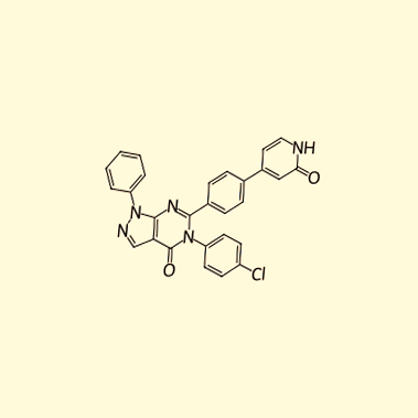 O=c1cc(-c2ccc(-c3nc4c(cnn4-c4ccccc4)c(=O)n3-c3ccc(Cl)cc3)cc2)cc[nH]1